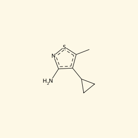 Cc1snc(N)c1C1CC1